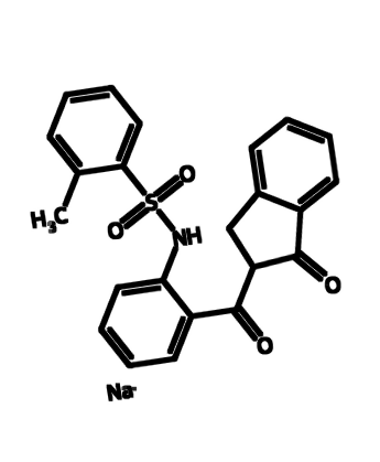 Cc1ccccc1S(=O)(=O)Nc1ccccc1C(=O)C1Cc2ccccc2C1=O.[Na]